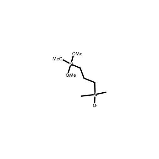 CO[Si](CCC[Si](C)(C)[O])(OC)OC